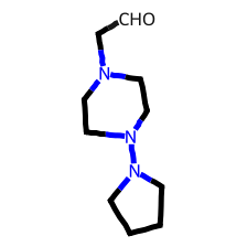 O=CCN1CCN(N2CCCC2)CC1